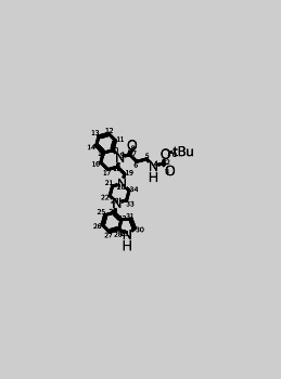 CC(C)(C)OC(=O)NCCC(=O)N1c2ccccc2CCC1CN1CCN(c2cccc3[nH]ccc23)CC1